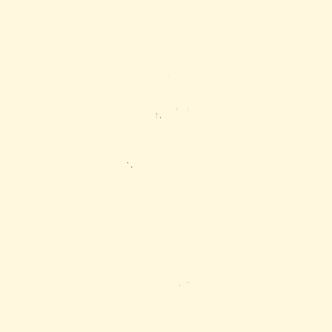 CN(CC(=O)NCc1cccc(-c2ccc(C(F)(F)F)cc2)c1)c1ccccc1S(=O)(=O)c1ccc(F)cc1